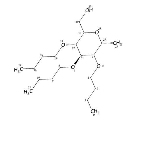 CCCCOC1[C@@H](OCCCC)[C@H](OCCCC)C(CO)O[C@@H]1C